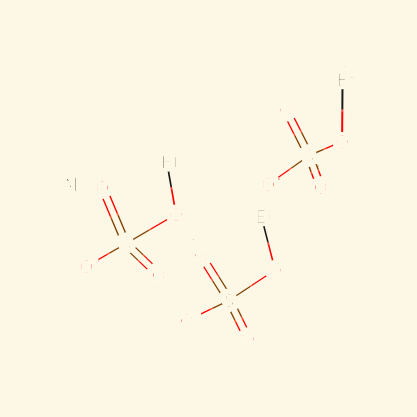 CCOS(=O)(=O)[O-].CCOS(=O)(=O)[O-].CCOS(=O)(=O)[O-].[Al+3]